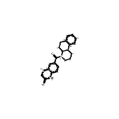 O=C(c1ccc2[nH]c(=O)cnc2c1)N1CCCC2c3ccccc3CCC21